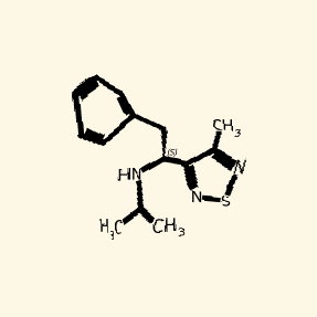 Cc1nsnc1[C@H](Cc1ccccc1)NC(C)C